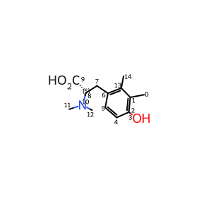 Cc1c(O)ccc(C[C@@H](C(=O)O)N(C)C)c1C